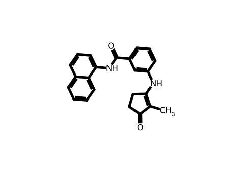 CC1=C(Nc2cccc(C(=O)Nc3cccc4ccccc34)c2)CCC1=O